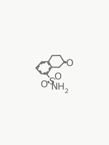 NS(=O)(=O)c1cccc2c1CC(=O)CC2